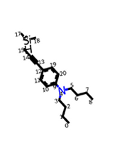 CCCCN(CCCC)c1ccc(C#CC[SiH](C)C)cc1